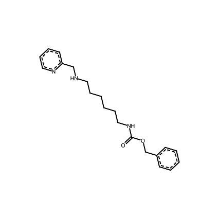 O=C(NCCCCCCNCc1ccccn1)OCc1ccccc1